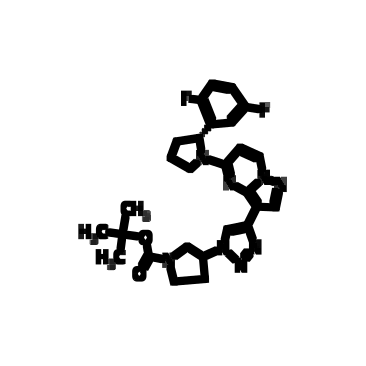 CC(C)(C)OC(=O)N1CCC(n2cc(-c3cnn4ccc(N5CCC[C@@H]5c5cc(F)ccc5F)nc34)nn2)C1